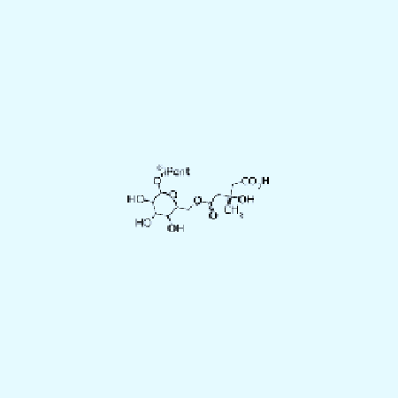 CCC[C@H](C)OC1OC(COC(=O)C[C@@](C)(O)CC(=O)O)C(O)C(O)C1O